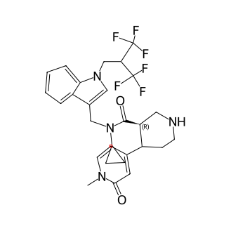 Cn1ccc(C2CCNC[C@@H]2C(=O)N(Cc2cn(CC(C(F)(F)F)C(F)(F)F)c3ccccc23)C2CC2)cc1=O